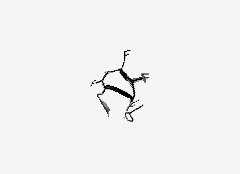 C[O].Fc1[c]c(F)c(F)c(F)c1F